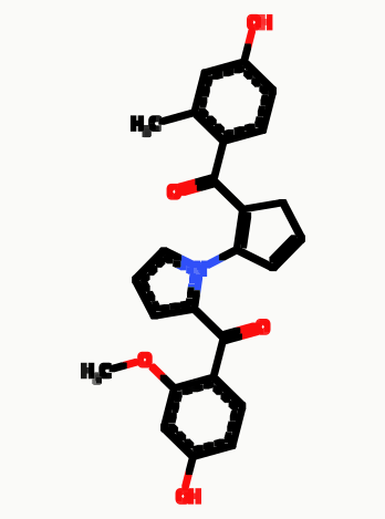 COc1cc(O)ccc1C(=O)c1cccn1C1=C(C(=O)c2ccc(O)cc2C)CC=C1